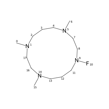 CN1CCCN(C)CCN(F)CCCN(C)CC1